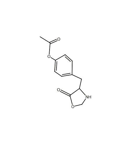 CC(=O)Oc1ccc(CC2NCOC2=O)cc1